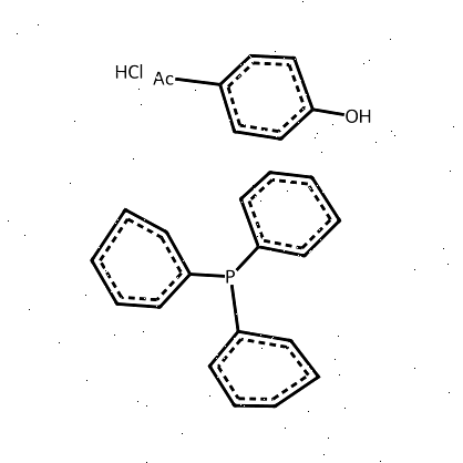 CC(=O)c1ccc(O)cc1.Cl.c1ccc(P(c2ccccc2)c2ccccc2)cc1